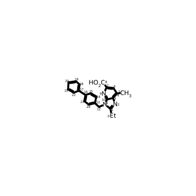 CCc1nc2c(C)cc(C(=O)O)nc2n1Cc1ccc(-c2ccccc2)cc1